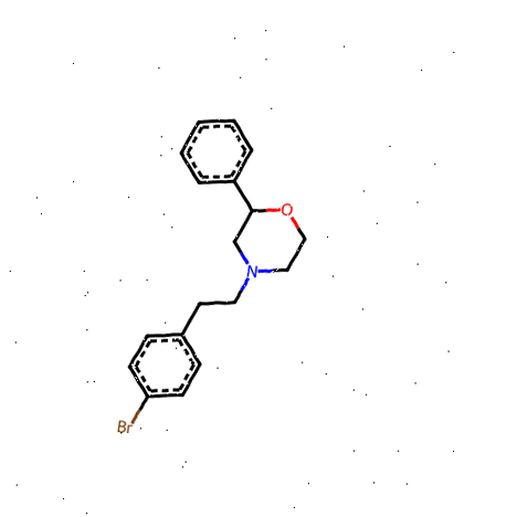 Brc1ccc(CCN2CCOC(c3ccccc3)C2)cc1